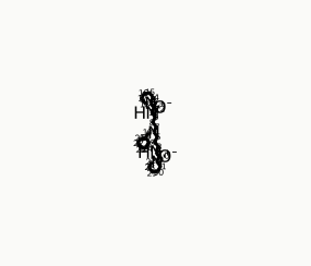 [O-][S+](NCCCN(CCCN[S+]([O-])N1CCCCC1)Cc1ccccc1)N1CCCCC1